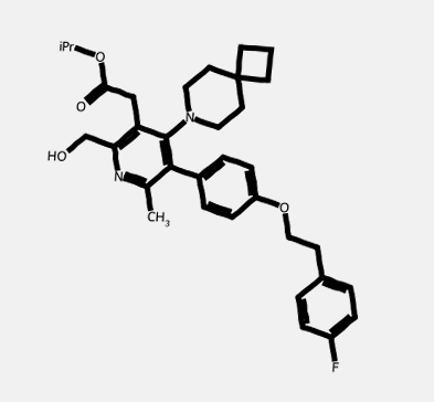 Cc1nc(CO)c(CC(=O)OC(C)C)c(N2CCC3(CCC3)CC2)c1-c1ccc(OCCc2ccc(F)cc2)cc1